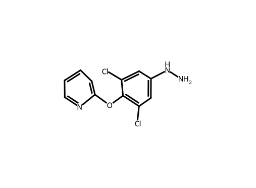 NNc1cc(Cl)c(Oc2ccccn2)c(Cl)c1